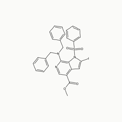 COC(=O)c1cnc(N(Cc2ccccc2)Cc2ccccc2)c2c1cc(I)n2S(=O)(=O)c1ccccc1